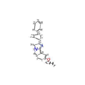 COc1ccc2cn3c(c2c1)N=C(c1ccc(-c2ccccc2)cc1)C3